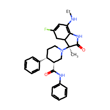 CCNC1=C2NC(=O)[C@@](C)(N3CC[C@@H](c4ccccc4)[C@@H](C(=O)Nc4ccccc4)C3)C2CC(F)=C1